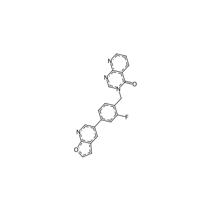 O=c1c2cccnc2ncn1Cc1ccc(-c2cnc3occc3c2)cc1F